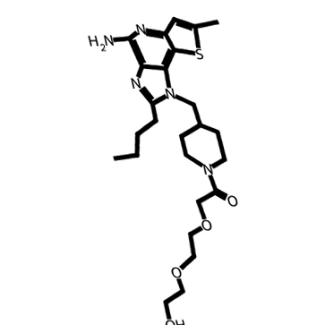 CCCCc1nc2c(N)nc3cc(C)sc3c2n1CC1CCN(C(=O)COCCOCCO)CC1